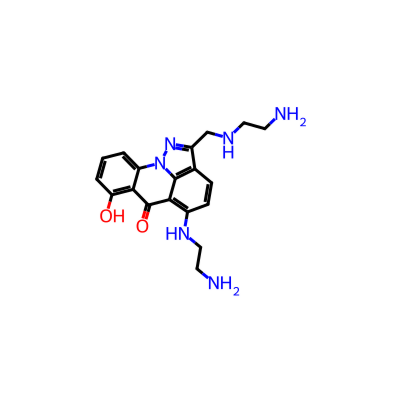 NCCNCc1nn2c3cccc(O)c3c(=O)c3c(NCCN)ccc1c32